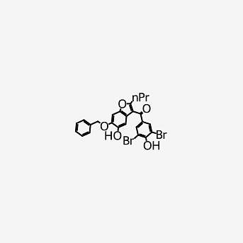 CCCc1oc2cc(OCc3ccccc3)c(O)cc2c1C(=O)c1cc(Br)c(O)c(Br)c1